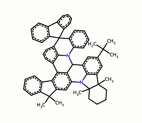 CC(C)(C)c1cc2c3c(c1)C1(C)CCCCC1(C)N3c1cc3c(c4c1C2N1c2ccccc2C2(c5ccccc5-c5ccccc52)c2cccc-4c21)-c1ccccc1C3(C)C